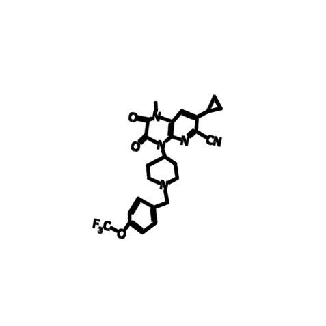 Cn1c(=O)c(=O)n(C2CCN(Cc3ccc(OC(F)(F)F)cc3)CC2)c2nc(C#N)c(C3CC3)cc21